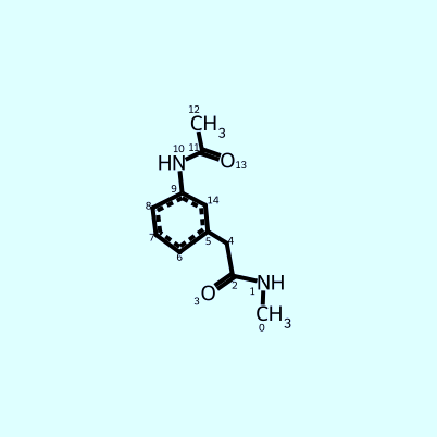 CNC(=O)Cc1cccc(NC(C)=O)c1